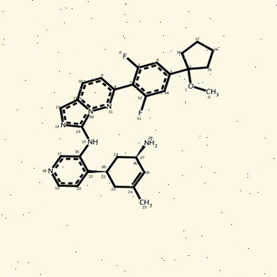 COC1(c2cc(F)c(-c3ccc4cnc(Nc5cnccc5[C@@H]5CC(C)=C[C@H](N)C5)n4n3)c(F)c2)CCCC1